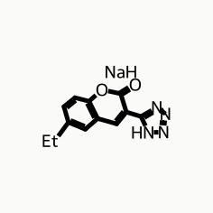 CCc1ccc2oc(=O)c(-c3nnn[nH]3)cc2c1.[NaH]